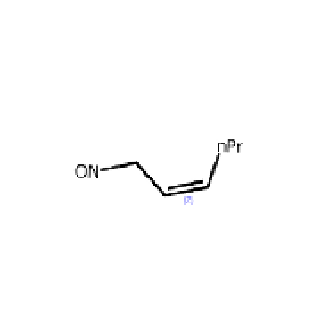 CCC/C=C\CN=O